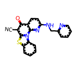 N#Cc1c(=O)c2ccc(NCc3ccccn3)nc2n2c1sc1ccccc12